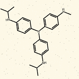 CNc1ccc(N(c2ccc(NC(C)C)cc2)c2ccc(NC(C)C)cc2)cc1